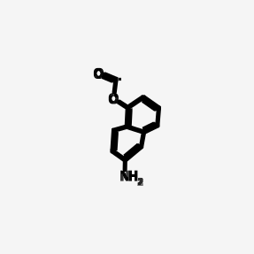 Nc1ccc2c(O[C]=O)cccc2c1